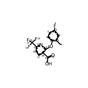 Cc1cc(F)ccc1Oc1nc(C(F)(F)F)ccc1C(=O)O